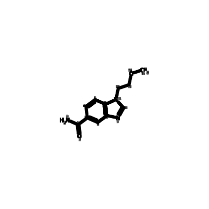 NC(=O)c1ccc2c(c1)ncn2CCOC(F)(F)F